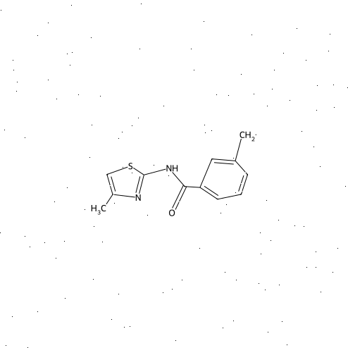 [CH2]c1cccc(C(=O)Nc2nc(C)cs2)c1